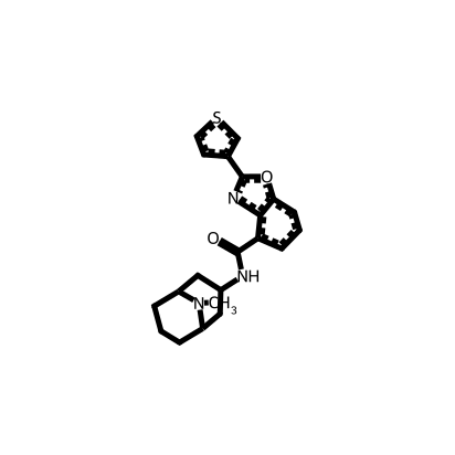 CN1C2CCCC1CC(NC(=O)c1cccc3oc(-c4ccsc4)nc13)C2